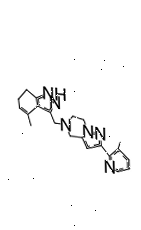 CC1=CCCc2[nH]nc(CN3CCn4nc(-c5ncccc5C)cc4C3)c21